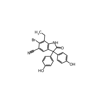 CCc1c(Br)c(C#N)cc2c1NC(=O)C2(c1ccc(O)cc1)c1ccc(O)cc1